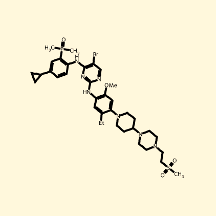 CCc1cc(Nc2ncc(Br)c(Nc3ccc(C4CC4)cc3P(C)(C)=O)n2)c(OC)cc1N1CCC(N2CCN(CCS(C)(=O)=O)CC2)CC1